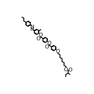 CCCc1ccc(/N=N/c2ccc(OC(=O)c3ccc(OC(=O)c4ccc(OCCCCCCCCOC(=O)C(C)CC)cc4)cc3)c(C)c2)cc1